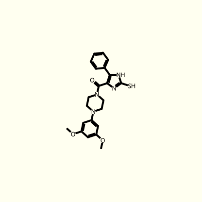 COc1cc(OC)cc(N2CCN(C(=O)c3nc(S)[nH]c3-c3ccccc3)CC2)c1